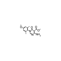 COC(=O)c1c(N)ncn(-c2c(C)cc(OC)cc2C)c1=O